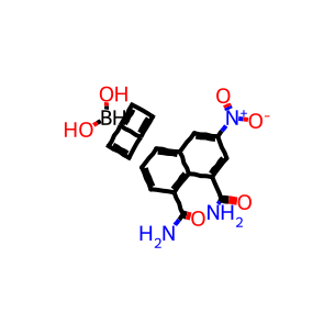 NC(=O)c1cccc2cc([N+](=O)[O-])cc(C(N)=O)c12.OBO.c1cc2ccc1-2